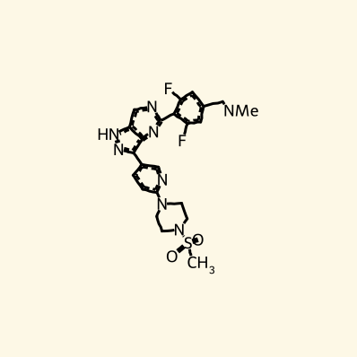 CNCc1cc(F)c(-c2ncc3[nH]nc(-c4ccc(N5CCN(S(C)(=O)=O)CC5)nc4)c3n2)c(F)c1